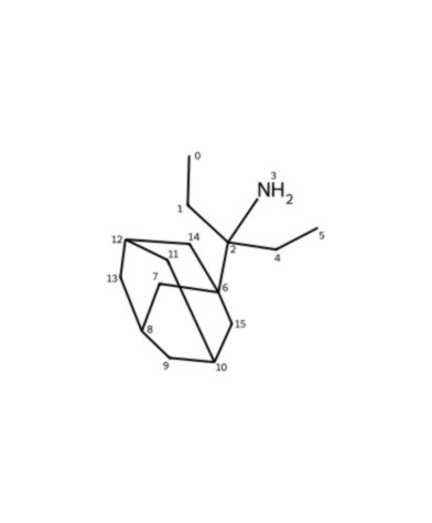 CCC(N)(CC)C12CC3CC(CC(C3)C1)C2